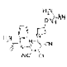 CCc1c(C#N)c(SC(C(N)=O)c2ccccc2)nc(N2CC(ONC(=N)N)C2)c1C#N